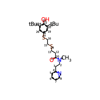 CN(CCc1ccccn1)C(=O)CCSCCSc1cc(C(C)(C)C)c(O)c(C(C)(C)C)c1